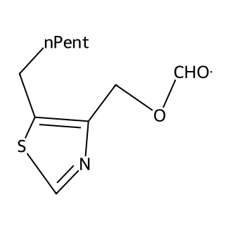 CCCCCCc1scnc1CO[C]=O